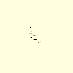 C=C(CC)c1cc(=O)c(C(=O)OCC)cn1N